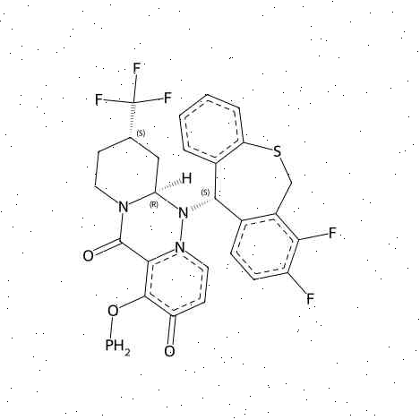 O=C1c2c(OP)c(=O)ccn2N([C@@H]2c3ccccc3SCc3c2ccc(F)c3F)[C@@H]2C[C@@H](C(F)(F)F)CCN12